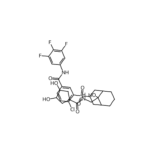 O=C(Nc1cc(F)c(F)c(F)c1)c1ccc(Cl)c(S(=O)(=O)C2CC3CCCC(C2)C3(O)CNC(=O)C2CC(O)C(O)C2)c1